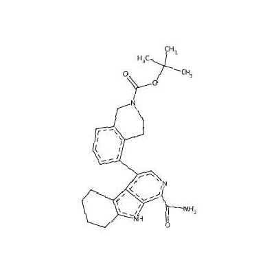 CC(C)(C)OC(=O)N1CCc2c(cccc2-c2cnc(C(N)=O)c3[nH]c4c(c23)CCCC4)C1